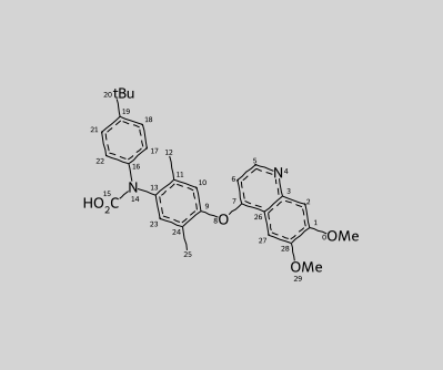 COc1cc2nccc(Oc3cc(C)c(N(C(=O)O)c4ccc(C(C)(C)C)cc4)cc3C)c2cc1OC